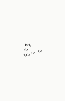 [Cd].[GaH3].[InH3].[Se].[Se]